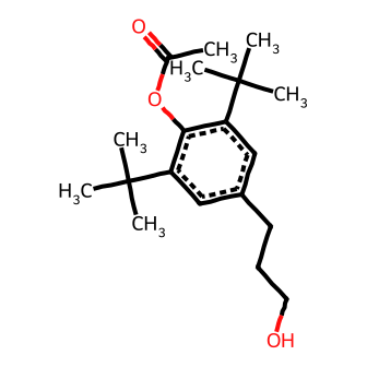 CC(=O)Oc1c(C(C)(C)C)cc(CCCO)cc1C(C)(C)C